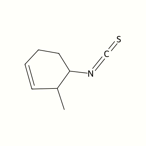 CC1C=CCCC1N=C=S